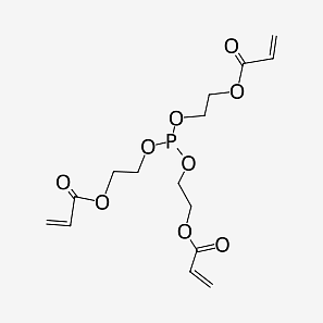 C=CC(=O)OCCOP(OCCOC(=O)C=C)OCCOC(=O)C=C